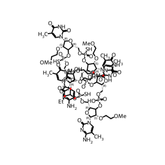 CC[C@H]1O[C@@H](n2cc(C)c(=O)[nH]c2=O)CC1OP(=O)(S)OC[C@H]1O[C@@H](n2cc(C)c(N)nc2=O)[C@@H](OCCOC)C1OP(=O)(O)OC[C@H]1O[C@@H](n2cc(C)c(=O)[nH]c2=O)[C@@H](OCCOC)C1OP(=O)(O)OC[C@H]1O[C@@H](n2cc(C)c(=O)[nH]c2=O)[C@@H](OCCOC)C1OP(=O)(S)OC[C@H]1O[C@@H](n2cc(C)c(=O)[nH]c2=O)[C@@H](OCCOC)C1OP(=O)(S)OC[C@H]1O[C@@H](n2ccc(N)nc2=O)[C@@H](OCCOC)C1O